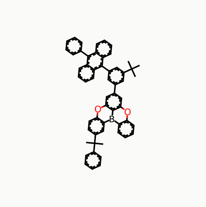 CC(C)(C)c1cc(-c2cc3c4c(c2)Oc2ccc(C(C)(C)c5ccccc5)cc2B4c2ccccc2O3)cc(-c2c3ccccc3c(-c3ccccc3)c3ccccc23)c1